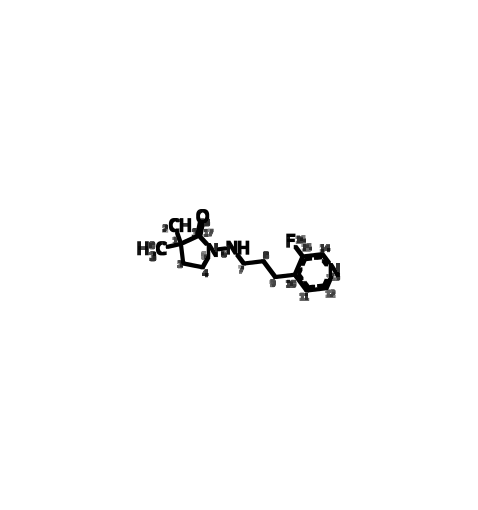 CC1(C)CCN(NCCCc2ccncc2F)C1=O